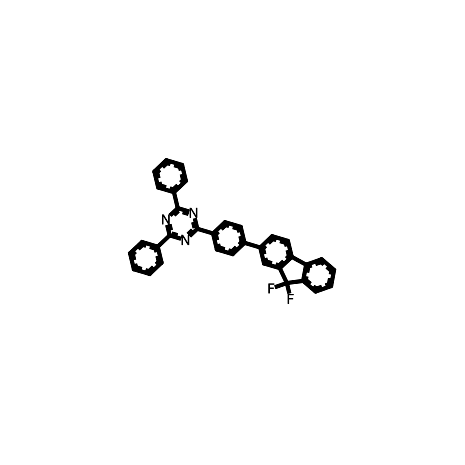 FC1(F)c2ccccc2-c2ccc(-c3ccc(-c4nc(-c5ccccc5)nc(-c5ccccc5)n4)cc3)cc21